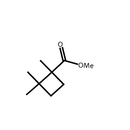 COC(=O)C1(C)CCC1(C)C